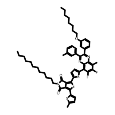 CCCCCCCCCCCCN1C(=O)c2c(-c3ccc(C)s3)sc(-c3ccc(-c4c(F)c(F)c(C)c5nc(-c6cccc(OCCCCCCCC)c6)c(-c6cccc(C)c6)nc45)s3)c2C1=O